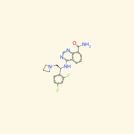 NC(=O)c1cccc2c(N[C@H](CN3CCC3)c3ccc(F)cc3F)ncnc12